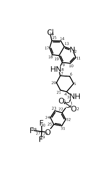 O=S(=O)(NC1CCC(Nc2ccnc3cc(Cl)ccc23)CC1)c1ccc(OC(F)(F)F)cc1